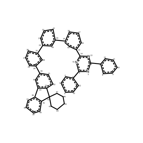 c1ccc(-c2nc(-c3ccccc3)nc(-c3cccc(-c4cccc(-c5cccc(-c6ccc7c(c6)-c6ccccc6C76CCCCC6)c5)c4)c3)n2)cc1